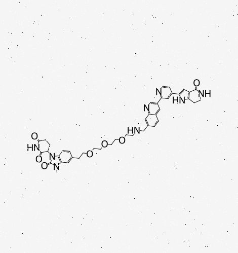 Cn1c(=O)n(C2CCC(=O)NC2=O)c2ccc(CCOCCOCCOCCNCc3ccc4cc(-c5cc(-c6cc7c([nH]6)CCNC7=O)ccn5)cnc4c3)cc21